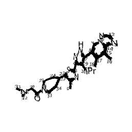 Cc1nc(-c2n[nH]c(-c3cn4ncnc4c(C)c3C)c2C(C)C)sc1C1CCN(C(=O)CN(C)C)CC1